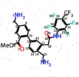 COC(=O)c1cc(CN)ccc1-c1ccc(CN)c(CC(=O)Nc2c(F)c(F)c(C(F)(F)F)c(F)c2F)c1